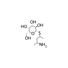 CC(N)CC(C)S[C@@H]1O[C@H](CO)[C@H](O)[C@H](O)[C@H]1O